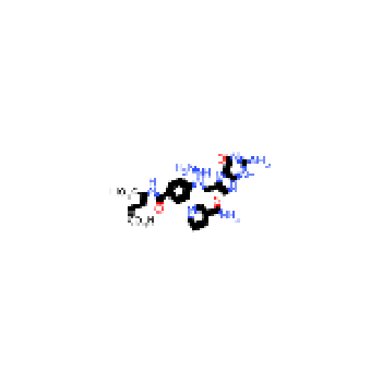 NC(=O)c1cccnc1.NNN(Cc1cnc2[nH]c(N)nc(=O)c2n1)c1ccc(C(=O)N[C@@H](CCC(=O)O)C(=O)O)cc1